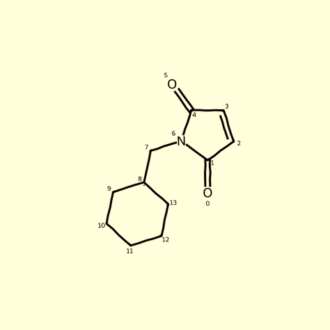 O=C1C=CC(=O)N1C[C]1CCCCC1